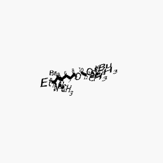 CCc1nn(C)c(CCCOCCO[Si](C)(C)C(C)(C)C)c1Br